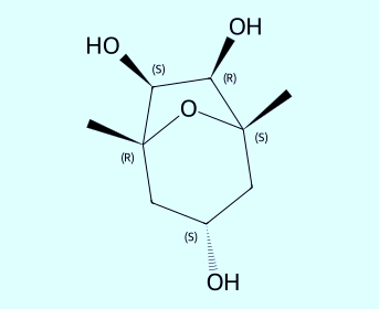 C[C@]12C[C@@H](O)C[C@](C)(O1)[C@H](O)[C@@H]2O